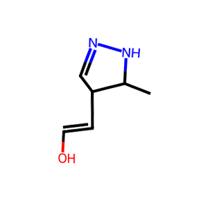 CC1NN=CC1C=CO